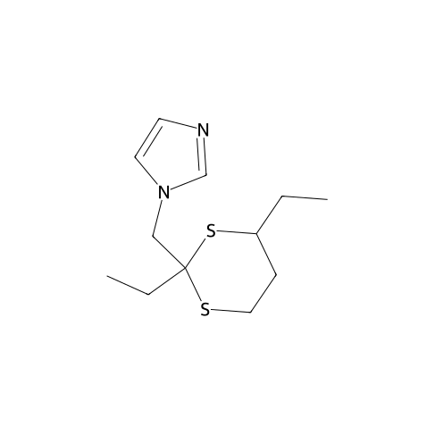 CCC1CCSC(CC)(Cn2ccnc2)S1